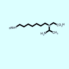 CCCCCCCCCCCCCCCCN(CC(=O)O)C(C)N